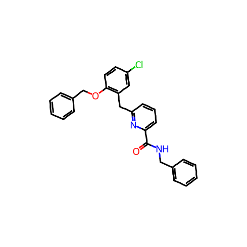 O=C(NCc1ccccc1)c1cccc(Cc2cc(Cl)ccc2OCc2ccccc2)n1